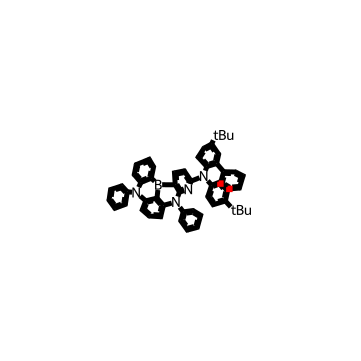 CC(C)(C)c1ccc(N(c2ccc3c(n2)N(c2ccccc2)c2cccc4c2B3c2ccccc2N4c2ccccc2)c2ccc(C(C)(C)C)cc2-c2ccccc2)cc1